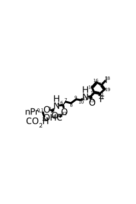 CCC[C@H](OC(=O)N[C@@H](CCCCNC(=O)c1ccc(I)cc1F)OC=O)C(=O)O